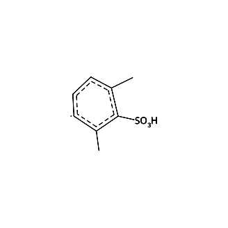 Cc1[c]ccc(C)c1S(=O)(=O)O